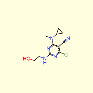 CN(c1nc(NCCO)nc(Cl)c1C#N)C1CC1